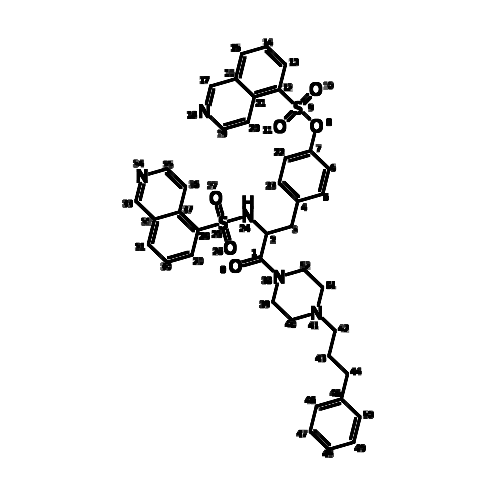 O=C(C(Cc1ccc(OS(=O)(=O)c2cccc3cnccc23)cc1)NS(=O)(=O)c1cccc2cnccc12)N1CCN(CCCc2ccccc2)CC1